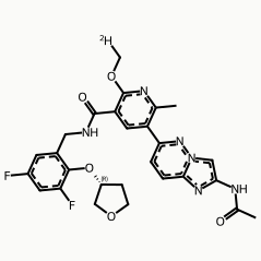 [2H]COc1nc(C)c(-c2ccc3nc(NC(C)=O)cn3n2)cc1C(=O)NCc1cc(F)cc(F)c1O[C@@H]1CCOC1